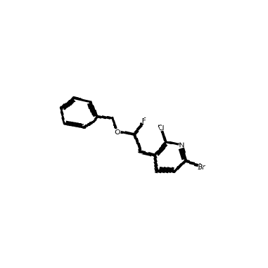 FC(Cc1ccc(Br)nc1Cl)OCc1ccccc1